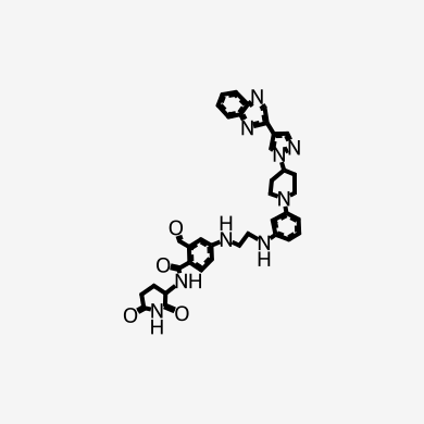 O=Cc1cc(NCCNc2cccc(N3CCC(n4cc(-c5cnc6ccccc6n5)cn4)CC3)c2)ccc1C(=O)NC1CCC(=O)NC1=O